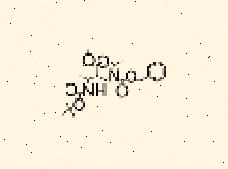 COC(=O)C(CN(C(=O)OCc1ccccc1)C(C)C)C(C)NC(=O)OC(C)(C)C